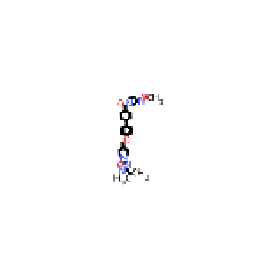 CO/N=C1\CCN(C(=O)C2CCC(c3ccc(OCC4CCN(c5nc(C(C)C)no5)CC4)cc3)CC2)C1